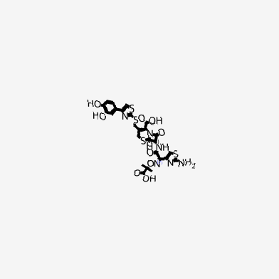 CC(C)(O/N=C(\C(=O)N[C@@H]1C(=O)N2C(C(=O)O)=C(CSc3nc(-c4ccc(O)c(O)c4)cs3)CS[C@H]12)c1csc(N)n1)C(=O)O